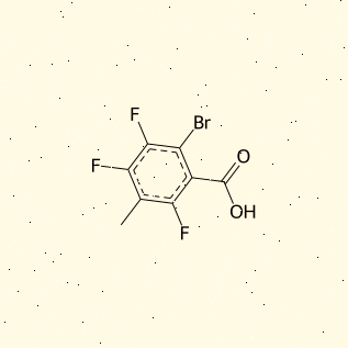 Cc1c(F)c(F)c(Br)c(C(=O)O)c1F